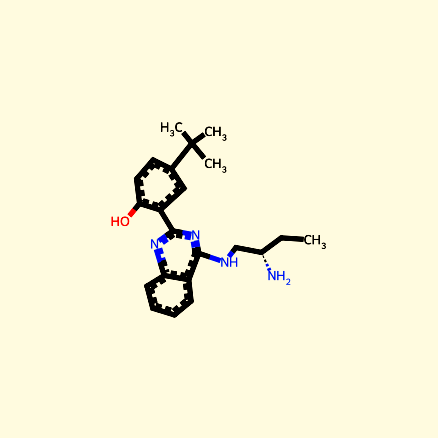 CC[C@H](N)CNc1nc(-c2cc(C(C)(C)C)ccc2O)nc2ccccc12